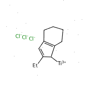 CCC1=CC2=C(CCCC2)[CH]1[Ti+3].[Cl-].[Cl-].[Cl-]